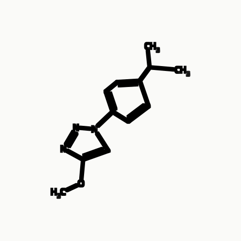 COc1cn(-c2ccc(C(C)C)cc2)nn1